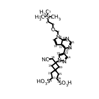 C[Si](C)(C)CCOCn1ccc2c(-c3cnn(C4(CC#N)CC(CCS(=O)(=O)O)(CCS(=O)(=O)O)C4)c3)ncnc21